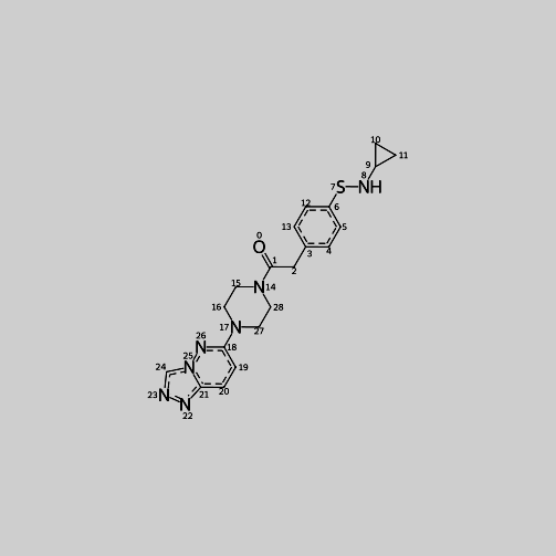 O=C(Cc1ccc(SNC2CC2)cc1)N1CCN(c2ccc3nncn3n2)CC1